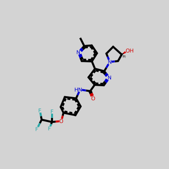 Cc1ccc(-c2cc(C(=O)Nc3ccc(OC(F)(F)C(F)F)cc3)cnc2N2CC[C@@H](O)C2)cn1